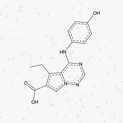 CCc1c(C(=O)O)cn2ncnc(Nc3ccc(O)cc3)c12